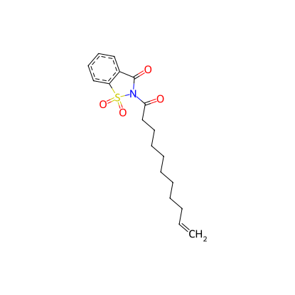 C=CCCCCCCCCC(=O)N1C(=O)c2ccccc2S1(=O)=O